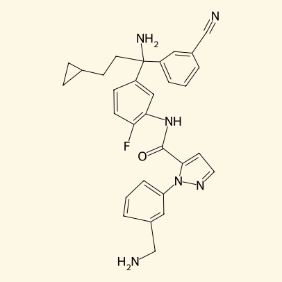 N#Cc1cccc(C(N)(CCC2CC2)c2ccc(F)c(NC(=O)c3ccnn3-c3cccc(CN)c3)c2)c1